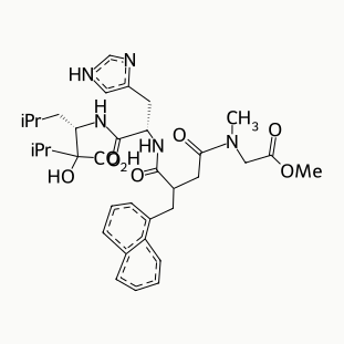 COC(=O)CN(C)C(=O)CC(Cc1cccc2ccccc12)C(=O)N[C@@H](Cc1c[nH]cn1)C(=O)N[C@@H](CC(C)C)C(O)(C(=O)O)C(C)C